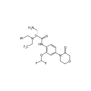 CC(C)CN(CC(F)(F)F)[C@H](CN)C(=O)Nc1ccc(N2CCOCC2=O)cc1OC(F)F